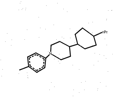 CCCC1CCC(C2CCN(c3ccc(C)cc3)CC2)CC1